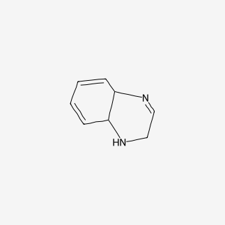 C1=CC2N=CCNC2C=C1